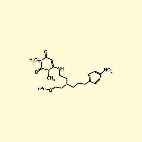 CCCOCCN(CCCc1ccc([N+](=O)[O-])cc1)CCNc1cc(=O)n(C)c(=O)n1C